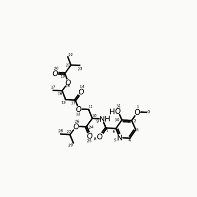 COc1ccnc(C(=O)NC(COC(=O)CC(C)OC(=O)C(C)C)C(=O)OC(C)C)c1O